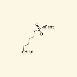 CCCC[CH]S(=O)(=O)CCCCCCCCCCCC